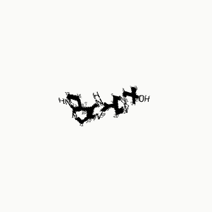 CC(C)(O)Cn1cc(-c2nc3cnc4[nH]ccc4c3[nH]2)cn1